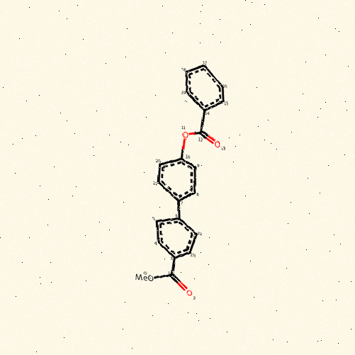 COC(=O)c1ccc(-c2ccc(OC(=O)c3ccccc3)cc2)cc1